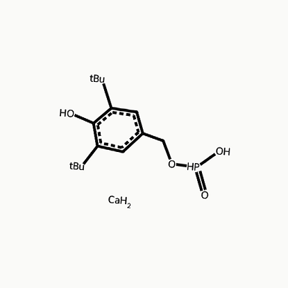 CC(C)(C)c1cc(CO[PH](=O)O)cc(C(C)(C)C)c1O.[CaH2]